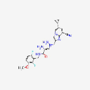 COc1ccc(F)c(CNC(=O)/C(N)=C/N(N)Cc2cn3cc(C4CC4)cc(C#N)c3n2)c1F